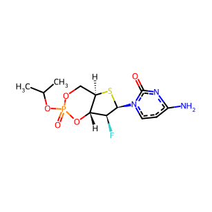 CC(C)OP1(=O)OC[C@H]2S[C@@H](n3ccc(N)nc3=O)[C@@H](F)[C@@H]2O1